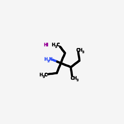 CCC(C)C(N)(CC)CC.I